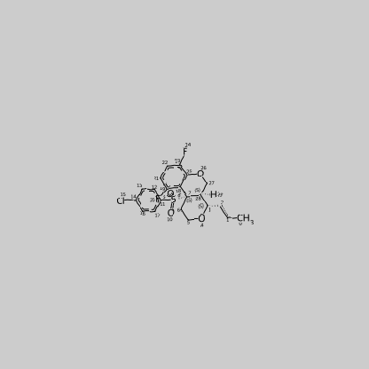 CC=C[C@@H]1OCC[C@@]2(S(=O)(=O)c3ccc(Cl)cc3)c3c(F)ccc(F)c3OC[C@@H]12